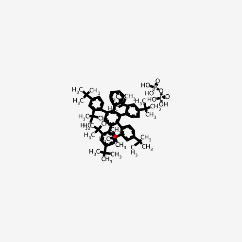 CC(C)(C)c1ccc(-c2cc(-c3ccc(C(C)(C)C)cc3C(C)(C)C)c(-c3ccc(C(C)(C)C)cc3C(C)(C)C)c(-c3ccc(C(C)(C)C)cc3C(C)(C)C)c2-c2ccccc2)c(C(C)(C)C)c1.O=P(O)(O)OP(=O)(O)O